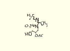 C=C/N=C(/C)N(CC(CO)OC(C)=O)[N+](=O)[O-]